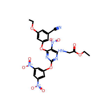 CCOC(=O)CNc1nc(Oc2cc([N+](=O)[O-])cc([N+](=O)[O-])c2)nc(Oc2cc(C#N)cc(OCC)c2)c1[N+](=O)[O-]